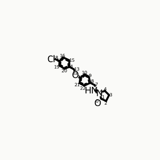 O=C1CCCN1NCc1ccc(OCc2ccc(Cl)cc2)cc1